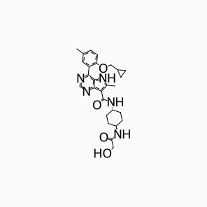 Cc1ccc(OCC2CC2)c(-c2ncnc3c(C(=O)N[C@H]4CC[C@H](NC(=O)CO)CC4)c(C)[nH]c23)c1